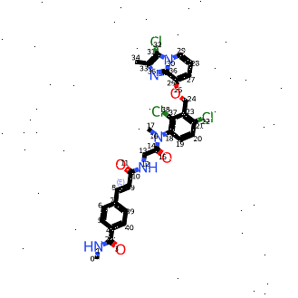 CNC(=O)c1ccc(/C=C/C(=O)NCC(=O)N(C)c2ccc(Cl)c(COc3cccn4c(Cl)c(C)nc34)c2Cl)cc1